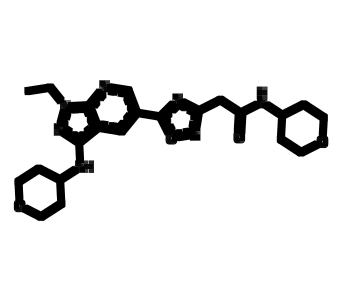 CCn1nc(NC2CCOCC2)c2cc(-c3nc(CC(=O)NC4CCOCC4)no3)cnc21